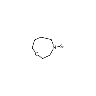 [S]N1CCCCCCC1